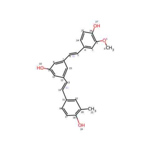 COc1cc(/C=C/c2cc(O)cc(/C=C/c3ccc(O)c(C)c3)c2)ccc1O